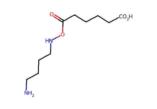 NCCCCNOC(=O)CCCCC(=O)O